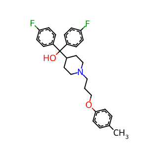 Cc1ccc(OCCCN2CCC(C(O)(c3ccc(F)cc3)c3ccc(F)cc3)CC2)cc1